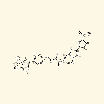 CC1(C)OB(c2ccc(COC(=O)Nc3ccc4nc(C5=NC(C(=O)O)CS5)sc4c3)cc2)OC1(C)C